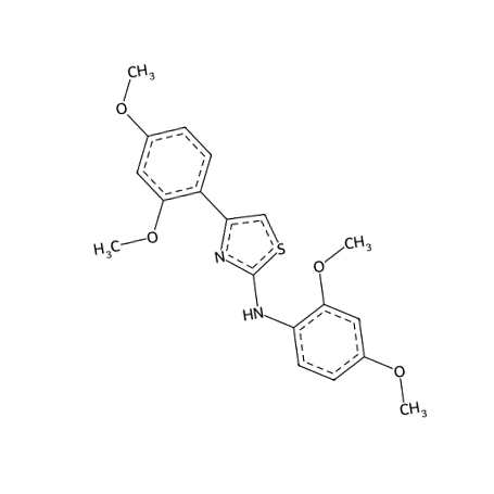 COc1ccc(Nc2nc(-c3ccc(OC)cc3OC)cs2)c(OC)c1